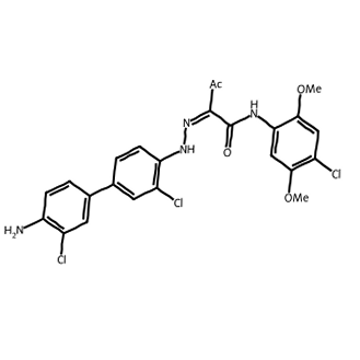 COc1cc(NC(=O)/C(=N\Nc2ccc(-c3ccc(N)c(Cl)c3)cc2Cl)C(C)=O)c(OC)cc1Cl